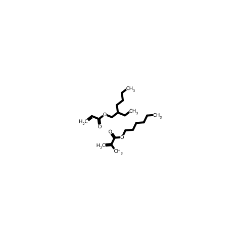 C=C(C)C(=O)OCCCCCC.C=CC(=O)OCC(CC)CCCC